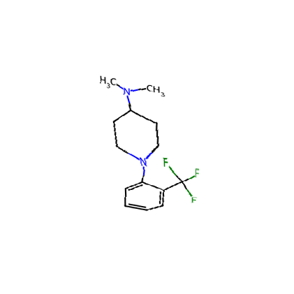 CN(C)C1CCN(c2ccccc2C(F)(F)F)CC1